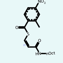 CCCCCCCCNC(=O)/C=C\SC(=O)c1ccc([N+](=O)[O-])cc1C